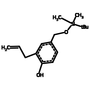 C=CCc1cc(CO[Si](C)(C)C(C)(C)C)ccc1O